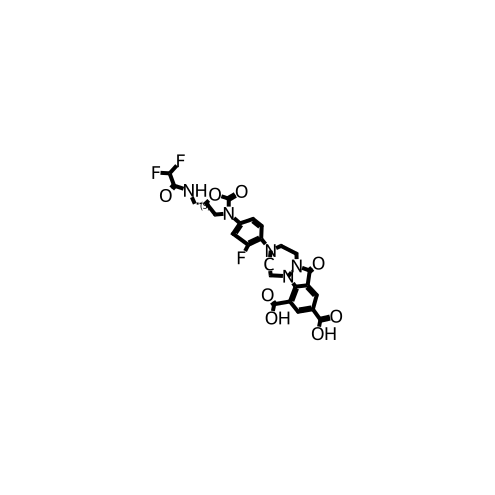 O=C(O)c1cc(C(=O)O)c2c(c1)c(=O)n1n2CCN(c2ccc(N3C[C@H](CNC(=O)C(F)F)OC3=O)cc2F)CC1